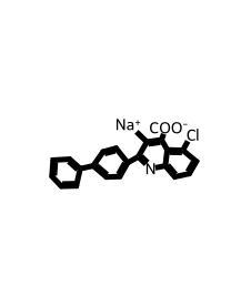 Cc1c(-c2ccc(-c3ccccc3)cc2)nc2cccc(Cl)c2c1C(=O)[O-].[Na+]